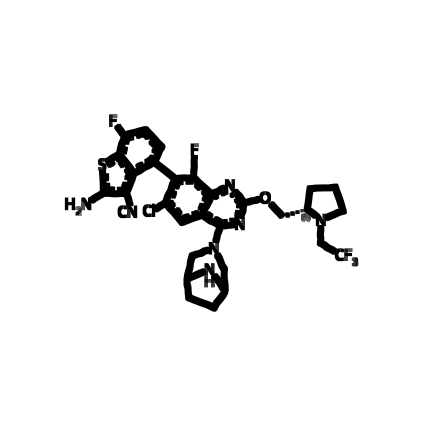 N#Cc1c(N)sc2c(F)ccc(-c3c(Cl)cc4c(N5CC6CCC(C5)N6)nc(OC[C@@H]5CCCN5CC(F)(F)F)nc4c3F)c12